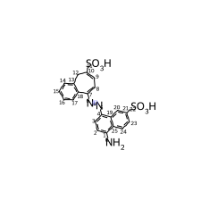 Nc1ccc(/N=N/C2=CC=C(S(=O)(=O)O)Cc3ccccc32)c2cc(S(=O)(=O)O)ccc12